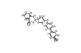 O=C1CC(c2ccc(Cc3ccc(-c4ccc(Br)cc4)cc3)cc2)Cc2ccccc21